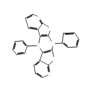 c1ccc(B2c3sc4ncccc4c3N(c3ccccc3)c3c2sc2ncccc32)cc1